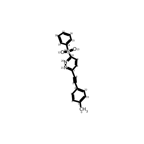 Cc1ccc(C#Cc2ccc(S(=O)(=O)c3ccccc3)nn2)cc1